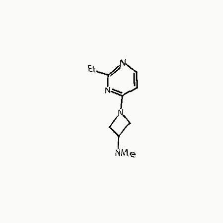 CCc1nccc(N2CC(NC)C2)n1